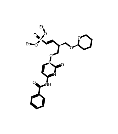 CCOP(=O)(/C=C/[C@@H](CO[C@@H]1CCCCO1)COn1ccc(NC(=O)c2ccccc2)nc1=O)OCC